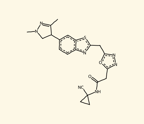 CC1=NN(C)CC1c1ccc2nc(Cc3nnc(CC(=O)NC4(C#N)CC4)o3)sc2c1